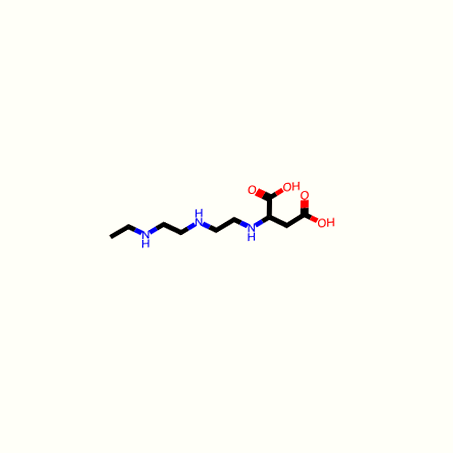 CCNCCNCCNC(CC(=O)O)C(=O)O